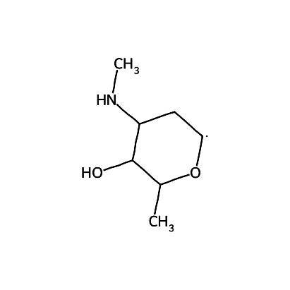 CNC1C[CH]OC(C)C1O